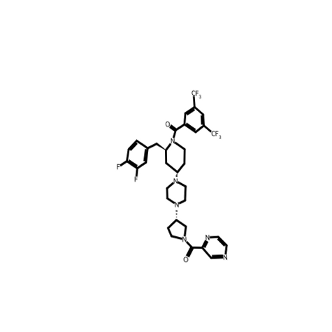 O=C(c1cnccn1)N1CC[C@H](N2CCN([C@H]3CCN(C(=O)c4cc(C(F)(F)F)cc(C(F)(F)F)c4)[C@H](Cc4ccc(F)c(F)c4)C3)CC2)C1